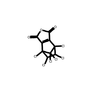 O=C1OC(=O)C2=C1C1(Cl)C(Cl)C(Cl)C2(Cl)C1(Cl)Cl